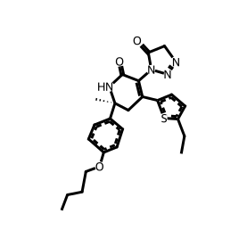 CCCCOc1ccc([C@]2(C)CC(c3ccc(CC)s3)=C(N3N=NCC3=O)C(=O)N2)cc1